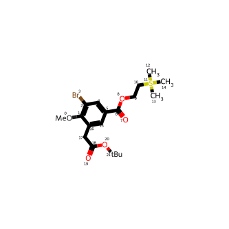 COc1c(Br)cc(C(=O)OCCS(C)(C)C)cc1CC(=O)OC(C)(C)C